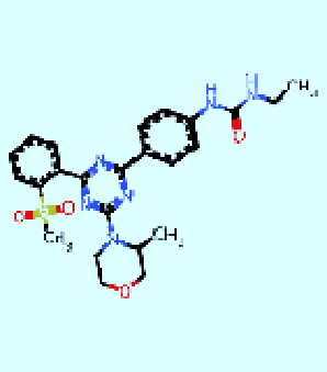 CCNC(=O)Nc1ccc(-c2nc(-c3ccccc3S(C)(=O)=O)nc(N3CCOCC3C)n2)cc1